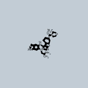 C[C@H](N)COc1cc2[nH]ncc2cc1Nc1ncnc2sc3c(c12)CC[C@H](C(=O)N1CCOC[C@H]1C)C3